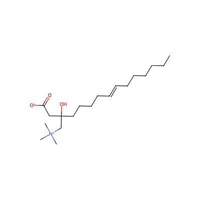 CCCCCCC=CCCCCC(O)(CC(=O)[O-])C[N+](C)(C)C